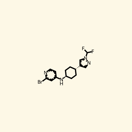 FC(F)n1cc([C@H]2CC[C@H](Nc3ccnc(Br)c3)CC2)cn1